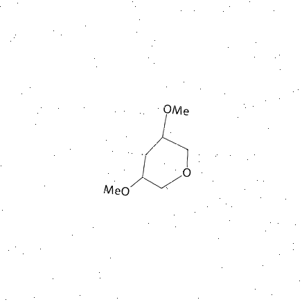 COC1[CH]C(OC)COC1